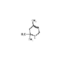 CC1=CCNC(C)(C)C1